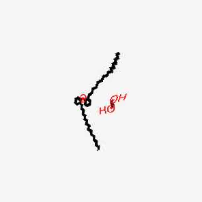 CCCCCCCCCCCCCCCCCCc1ccccc1Oc1ccccc1CCCCCCCCCCCCCCCCCC.OCCO